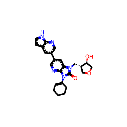 O=c1n(C[C@H]2COC[C@@H]2O)c2cc(-c3cnc4[nH]ccc4c3)cnc2n1C1=CCCCC1